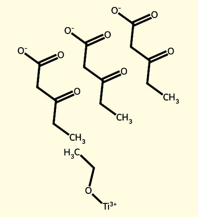 CCC(=O)CC(=O)[O-].CCC(=O)CC(=O)[O-].CCC(=O)CC(=O)[O-].CC[O][Ti+3]